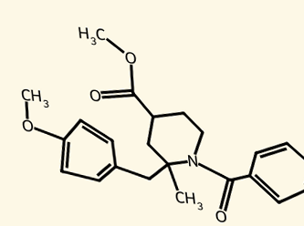 COC(=O)C1CCN(C(=O)c2ccccc2)C(C)(Cc2ccc(OC)cc2)C1